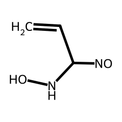 C=CC(N=O)NO